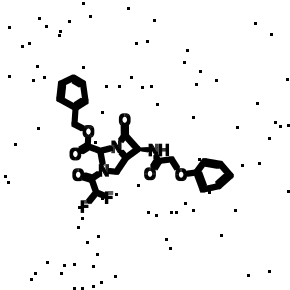 O=C(COc1ccccc1)N[C@@H]1C(=O)N2C1CN(C(=O)C(F)F)C2C(=O)OCc1ccccc1